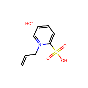 C=CC[n+]1ccccc1S(=O)(=O)O.[OH-]